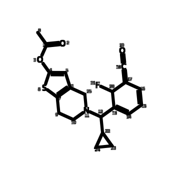 CC(=O)Oc1cc2c(s1)CCN(C(C1=CC=CC(=C=O)C1F)C1CC1)C2